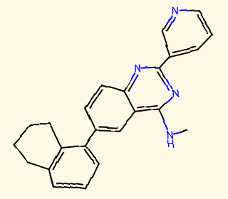 CNc1nc(-c2cccnc2)nc2ccc(-c3cccc4c3CCCC4)cc12